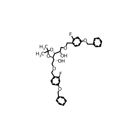 CC1(C)O[C@H]([C@H](O)COCc2ccc(OCc3ccccc3)cc2F)[C@@H]([C@H](O)COCc2ccc(OCc3ccccc3)cc2F)O1